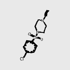 C#CN1CCN(S(=O)(=O)c2ccc(Cl)cc2)CC1